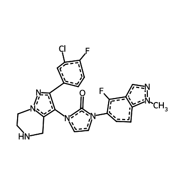 Cn1ncc2c(F)c(-n3ccn(-c4c(-c5ccc(F)c(Cl)c5)nn5c4CNCC5)c3=O)ccc21